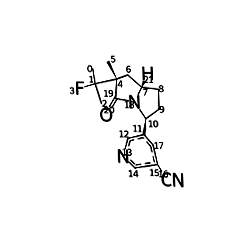 CC(C)(F)[C@]1(C)C[C@@H]2CC[C@@H](c3cncc(C#N)c3)N2C1=O